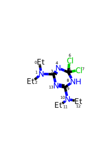 CCN(CC)C1=NC(Cl)(Cl)NC(N(CC)CC)=N1